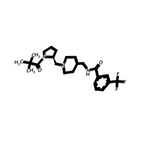 CC(C)(C)C(=O)N1CCC[C@H]1CN1CCC(CNC(=O)c2cccc(C(F)(F)F)c2)CC1